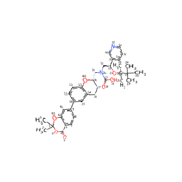 CC1(C)OC(=O)c2ccc(-c3ccc4c(c3)CC[C@@H](CN(C[C@H](O[Si](C)(C)C(C)(C)C)c3cccnc3)C(=O)O)O4)cc2O1